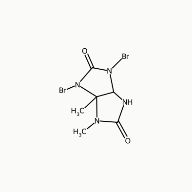 CN1C(=O)NC2N(Br)C(=O)N(Br)C21C